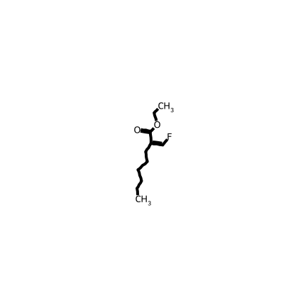 CCCCCCC(=CF)C(=O)OCC